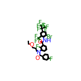 CCOCCCN(C(=O)c1ccc(F)cc1)c1cccc(C(=O)Nc2c(Br)cc(C(F)(C(F)(F)F)C(F)(F)F)cc2C(F)(F)F)c1F